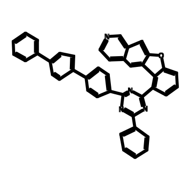 c1ccc(-c2ccc(-c3ccc(-c4nc(-c5ccccc5)nc(-c5cccc6oc7cc8cnccc8cc7c56)n4)cc3)cc2)cc1